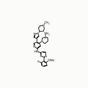 COc1cccc(F)c1-c1nccc(Nc2cc(N3CCC[C@H](N)C3)c(-c3cnn(C4CCN(C)CC4)c3)cn2)n1